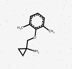 Cc1cccc(C)c1OCC1(N)CC1